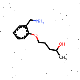 CC(O)CCCOc1[c]cccc1CN